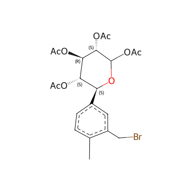 CC(=O)OC1O[C@@H](c2ccc(C)c(CBr)c2)[C@H](OC(C)=O)[C@@H](OC(C)=O)[C@@H]1OC(C)=O